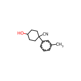 Cc1cccc(C2(C#N)CCC(O)CC2)c1